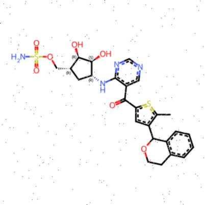 Cc1sc(C(=O)c2cncnc2N[C@@H]2C[C@H](COS(N)(=O)=O)[C@@H](O)[C@H]2O)cc1C1OCCc2ccccc21